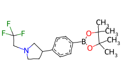 CC1(C)OB(c2ccc(C3CCN(CC(F)(F)F)C3)cc2)OC1(C)C